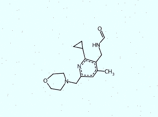 Cc1cc(CN2CCOCC2)nc(C2CC2)c1CNC=O